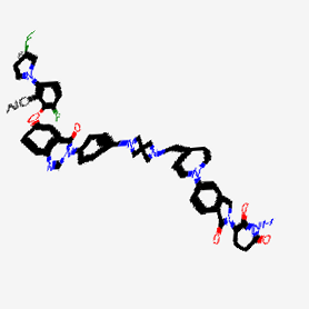 N#Cc1c(N2CC[C@@H](F)C2)ccc(F)c1Oc1ccc2ncn(-c3ccc(N4CC5(CN(CC6CCN(c7ccc8c(c7)CN(C7CCC(=O)NC7=O)C8=O)CC6)C5)C4)cc3)c(=O)c2c1